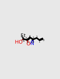 C=CCc1cc(C(O)CC)on1